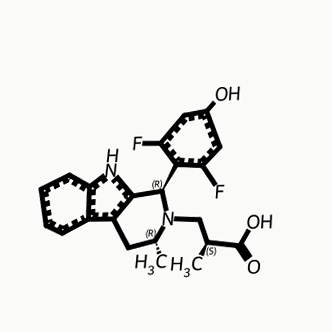 C[C@@H]1Cc2c([nH]c3ccccc23)[C@@H](c2c(F)cc(O)cc2F)N1C[C@H](C)C(=O)O